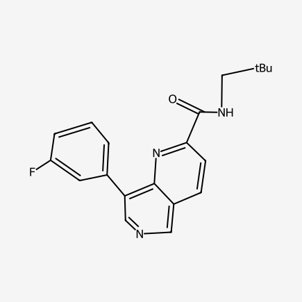 CC(C)(C)CNC(=O)c1ccc2cncc(-c3cccc(F)c3)c2n1